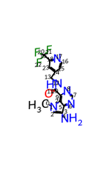 Cn1cc(N)c2ncnc(C(=O)NCc3ccnc(C(F)(F)F)c3)c21